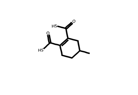 CC1CCC(C(=O)S)=C(C(=O)S)C1